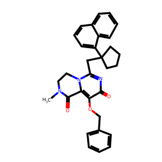 CN1CCn2c(CC3(c4cccc5ccccc45)CCCC3)nc(=O)c(OCc3ccccc3)c2C1=O